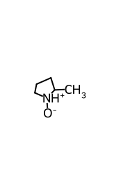 CC1CCC[NH+]1[O-]